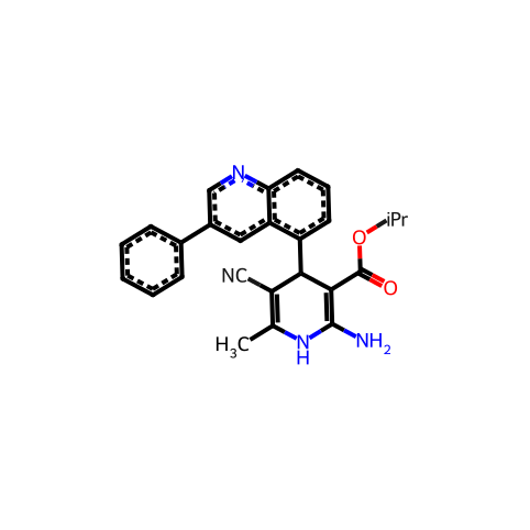 CC1=C(C#N)C(c2cccc3ncc(-c4ccccc4)cc23)C(C(=O)OC(C)C)=C(N)N1